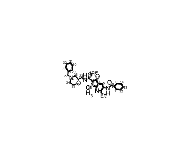 CCc1nc2c(cc1NC(=O)c1ccccc1)c(OC(C)C)c(C(=O)NCC1CN(Cc3ccccc3)CCO1)n2C